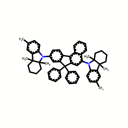 CC12CCCCC1(C)N(c1ccc3c(c1)C(c1ccccc1)(c1ccccc1)c1cc(N4c5ccc(C(F)(F)F)cc5C5(C)CCCCC45C)c4ccccc4c1-3)c1ccc(C(F)(F)F)cc12